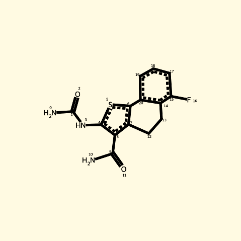 NC(=O)Nc1sc2c(c1C(N)=O)CCc1c(F)cccc1-2